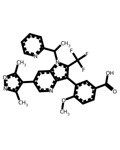 COc1ccc(C(=O)O)cc1-c1c(C(F)(F)F)n(C(C)c2ccccn2)c2cc(-c3c(C)noc3C)cnc12